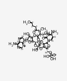 C=CCCC(=O)N(C)[C@@H](CO)C(=O)O[C@H]1[C@@H](O)[C@H](n2cnc3c(N)ncnc32)O[C@@H]1COP(=O)(O)O[C@H]1[C@@H](O)[C@H](n2ccc(N)nc2=O)O[C@@H]1COP(=O)(O)O